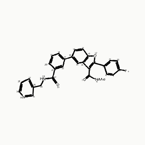 CNC(=O)c1c(-c2ccc(F)cc2)oc2ccc(-c3cccc(C(=O)NCc4cccnc4)c3)cc12